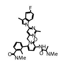 CNC(=O)c1cccc(-c2ccc(NC(=O)C(C)NC)c(=O)n2Cc2cc(-n3cc(C)c4cc(F)ccc43)nc(C)n2)c1C